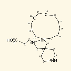 O=C(O)CCN1CC2(CCNCC2)CC12CCCCCCCCCCC2